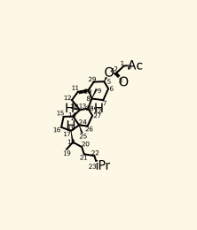 CC(=O)CC(=O)O[C@H]1CC[C@@]2(C)C(=CC[C@H]3[C@@H]4CC[C@H](C(C)CCCC(C)C)[C@@]4(C)CC[C@@H]32)C1